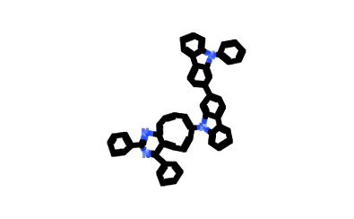 c1ccc(-c2nc(-c3ccccc3)c3cccc(-n4c5ccccc5c5ccc(-c6ccc7c8ccccc8n(-c8ccccc8)c7c6)cc54)ccccc3n2)cc1